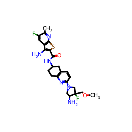 COCC1(F)CN(c2ccc3c(n2)CCC(NC(=O)c2sc4nc(C)c(F)cc4c2N)C3)CC1N